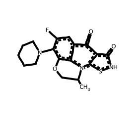 CC1COc2c(N3CCCCC3)c(F)cc3c(=O)c4c(=O)[nH]sc4n1c23